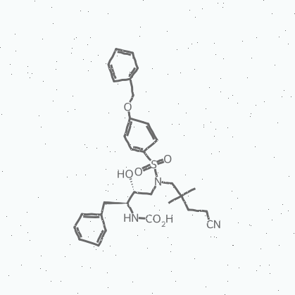 CC(C)(CCC#N)CN(C[C@@H](O)[C@H](Cc1ccccc1)NC(=O)O)S(=O)(=O)c1ccc(OCc2ccccc2)cc1